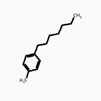 CCCCCCCc1ccc(C)cc1